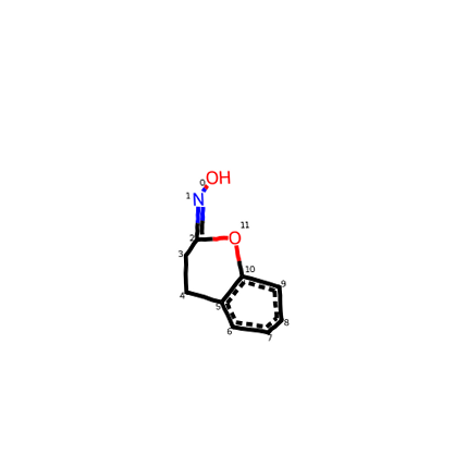 ON=C1CCc2ccccc2O1